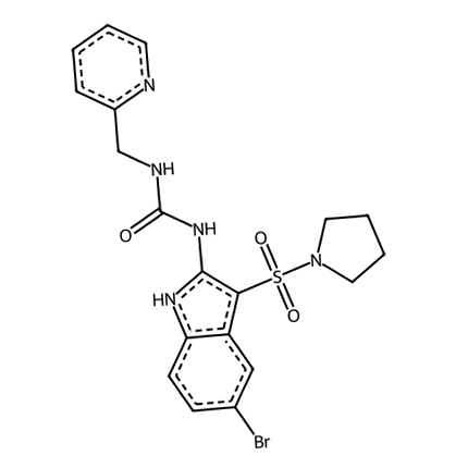 O=C(NCc1ccccn1)Nc1[nH]c2ccc(Br)cc2c1S(=O)(=O)N1CCCC1